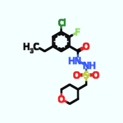 CCc1cc(Cl)c(F)c(C(=O)NNS(=O)(=O)CC2CCOCC2)c1